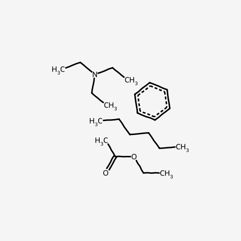 CCCCCC.CCN(CC)CC.CCOC(C)=O.c1ccccc1